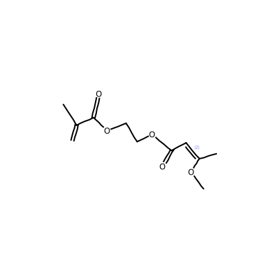 C=C(C)C(=O)OCCOC(=O)/C=C(/C)OC